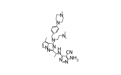 Cc1ccn2nc(C(C)Nc3ncnc(N)c3C#N)nc(N(CCN(C)C)Cc3ccc(N4CCN(C)CC4)cc3)c12